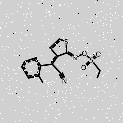 CCS(=O)(=O)O/N=C1\SC=C\C1=C(\C#N)c1ccccc1C